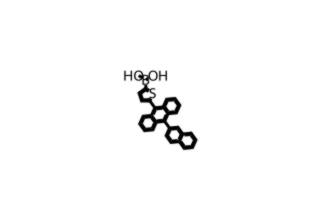 OB(O)c1ccc(-c2c3ccccc3c(-c3ccc4ccccc4c3)c3ccccc23)s1